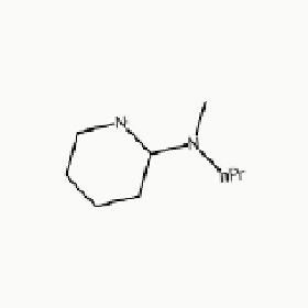 CCCN(C)C1CCCC[N]1